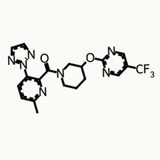 Cc1ccc(-n2nccn2)c(C(=O)N2CCCC(Oc3ncc(C(F)(F)F)cn3)C2)n1